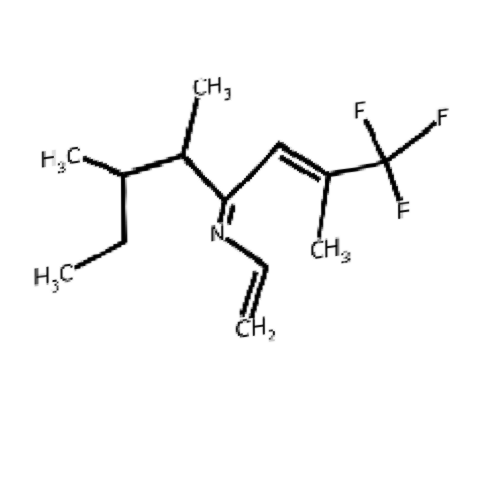 C=C/N=C(\C=C(/C)C(F)(F)F)C(C)C(C)CC